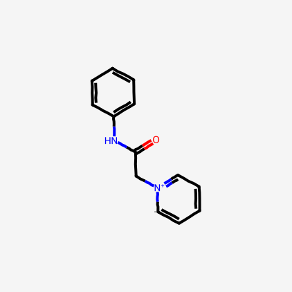 O=C(C[n+]1[c]cccc1)Nc1ccccc1